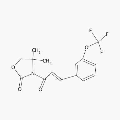 CC1(C)COC(=O)N1C(=O)/C=C/c1cccc(OC(F)(F)F)c1